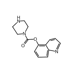 O=C(Oc1cccc2ncccc12)N1CCNCC1